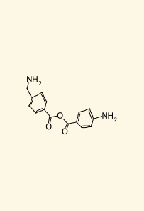 NCc1ccc(C(=O)OC(=O)c2ccc(N)cc2)cc1